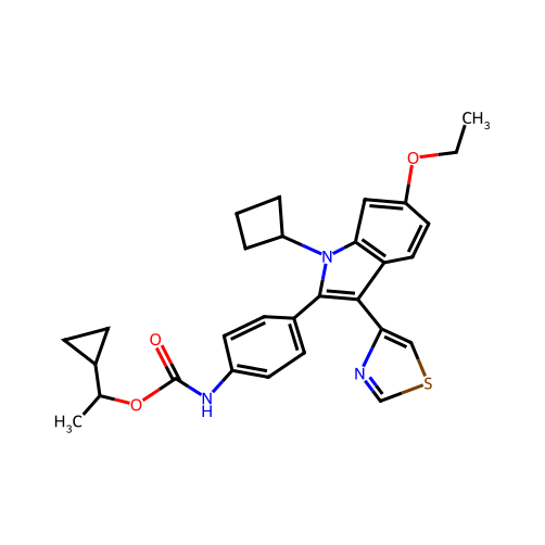 CCOc1ccc2c(-c3cscn3)c(-c3ccc(NC(=O)OC(C)C4CC4)cc3)n(C3CCC3)c2c1